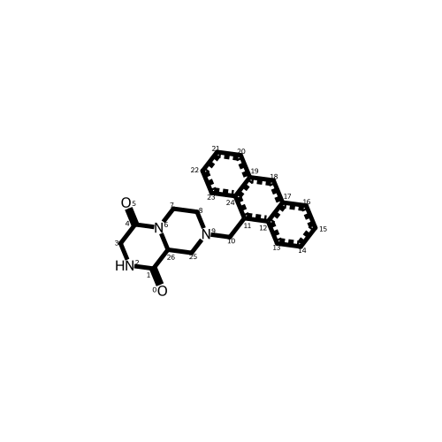 O=C1NCC(=O)N2CCN(Cc3c4ccccc4cc4ccccc34)CC12